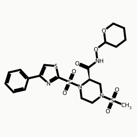 CS(=O)(=O)N1CCN(S(=O)(=O)c2nc(-c3ccccc3)cs2)[C@@H](C(=O)NOC2CCCCO2)C1